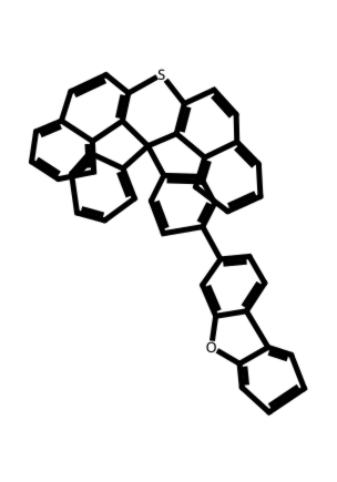 c1ccc(C2(c3ccc(-c4ccc5c(c4)oc4ccccc45)cc3)c3c(ccc4ccccc34)Sc3ccc4ccccc4c32)cc1